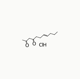 CCCC=CCCC(=O)CC(C)=O.Cl